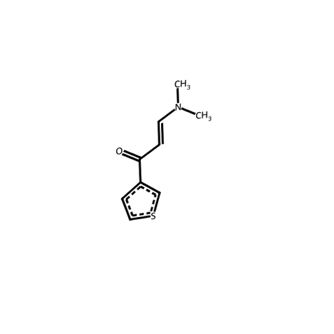 CN(C)C=CC(=O)c1ccsc1